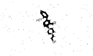 Cc1ccccc1-c1ccc(N2CCN(CCO)CC2)c(C=O)c1